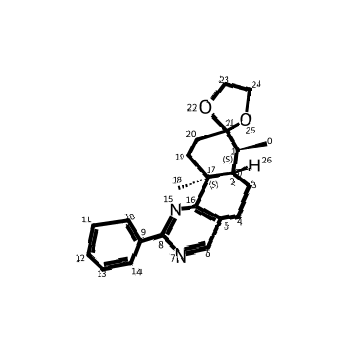 C[C@H]1[C@@H]2CCc3cnc(-c4ccccc4)nc3[C@@]2(C)CCC12OCCO2